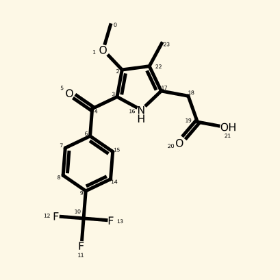 COc1c(C(=O)c2ccc(C(F)(F)F)cc2)[nH]c(CC(=O)O)c1C